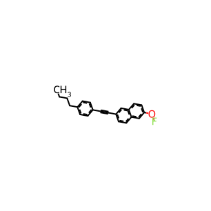 CCCCc1ccc(C#Cc2ccc3cc(OF)ccc3c2)cc1